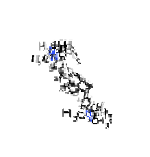 CC1=NC(C)(C)C(C)(C)N1c1ccc(-c2ccc3ccc4c(-c5ccc(N6C(C)=NC(C)(C)C6(C)C)cc5)ccc5ccc2c3c54)cc1